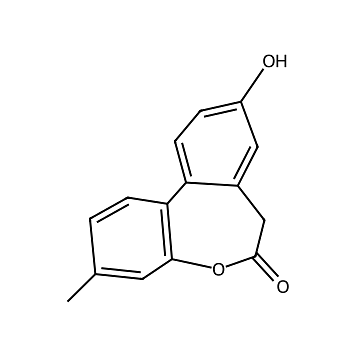 Cc1ccc2c(c1)OC(=O)Cc1cc(O)ccc1-2